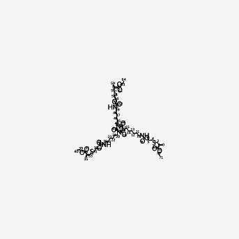 C=C(CSCCOC(=O)NCCCCCCn1c(=O)n(CCCCCCNC(=O)OCCSCC(=C)C(=O)OCC)c(=O)n(CCCCCCNC(=O)OCCSCC(=C)C(=O)OCC)c1=O)C(=O)OCC